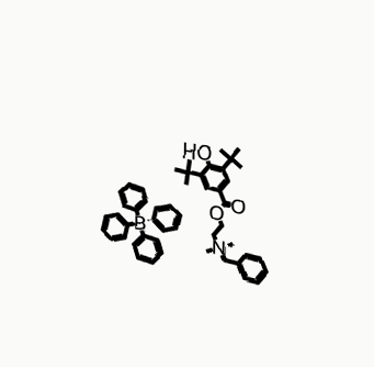 CC(C)(C)c1cc(C(=O)OCC[N+](C)(C)Cc2ccccc2)cc(C(C)(C)C)c1O.c1ccc([B-](c2ccccc2)(c2ccccc2)c2ccccc2)cc1